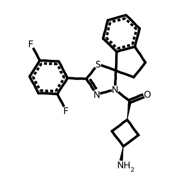 N[C@H]1C[C@@H](C(=O)N2N=C(c3cc(F)ccc3F)SC23CCc2ccccc23)C1